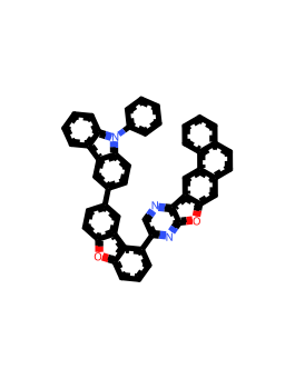 c1ccc(-n2c3ccccc3c3cc(-c4ccc5oc6cccc(-c7cnc8c(n7)oc7cc9ccc%10ccccc%10c9cc78)c6c5c4)ccc32)cc1